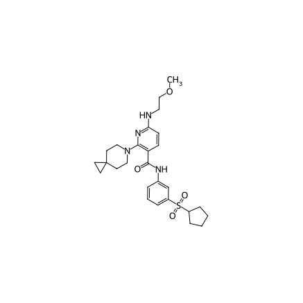 COCCNc1ccc(C(=O)Nc2cccc(S(=O)(=O)C3CCCC3)c2)c(N2CCC3(CC2)CC3)n1